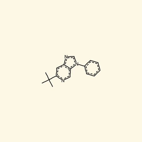 CC(C)(C)c1cc2ncn(-c3ccccc3)c2cn1